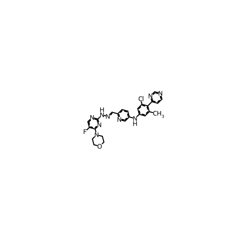 Cc1cc(Nc2ccc(/C=N/Nc3ncc(F)c(N4CCOCC4)n3)nc2)cc(Cl)c1-c1ccncn1